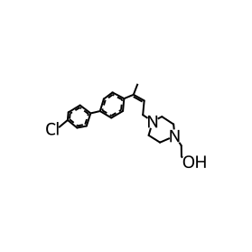 CC(=CCN1CCN(CCO)CC1)c1ccc(-c2ccc(Cl)cc2)cc1